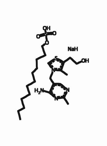 CCCCCCCCCCCCOS(=O)(=O)O.Cc1ncc(C[n+]2csc(CCO)c2C)c(N)n1.[NaH]